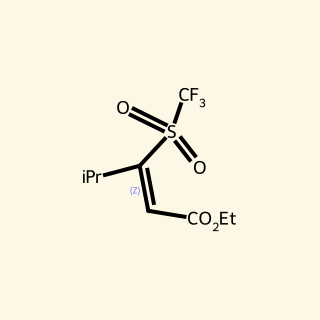 CCOC(=O)/C=C(/C(C)C)S(=O)(=O)C(F)(F)F